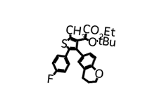 CCOC(=O)C(OC(C)(C)C)c1c(C)sc(-c2ccc(F)cc2)c1-c1ccc2c(c1)CCCO2